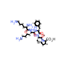 CC(C)C[C@H](NC(=O)[C@H](Cc1ccccc1)NC(=O)[C@H](CCCCN)NC(=O)[C@@H](N)CCCCN)C(=O)N1CCC[C@H]1C(=O)O